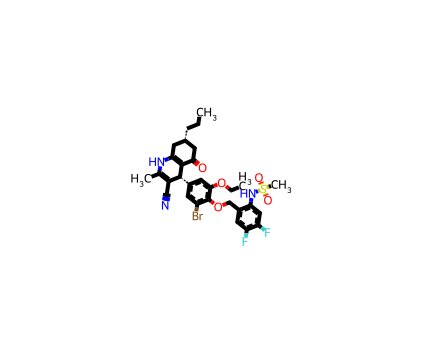 CCC[C@@H]1CC(=O)C2=C(C1)NC(C)=C(C#N)[C@H]2c1cc(Br)c(OCc2cc(F)c(F)cc2NS(C)(=O)=O)c(OCC)c1